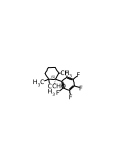 CC1CCCC(C)(C)[C@]1(C=O)c1c(F)c(F)c(F)c(F)c1F